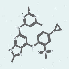 Cc1cc(Nc2cc(Nc3ccc(C4CC4)cc3S(C)(=O)=O)c3nc(C)[nH]c3n2)nc(C)n1